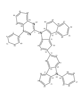 C1=CC(c2nc(-n3c4ccc(-c5ccc6c(c5)c5ccccc5n6-c5ccccc5)cc4c4c5ccccc5ccc43)nc3ccccc23)=CCC1